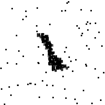 CC(=C/C(C)=N/B(F)OCc1ccc(-c2nnc(C)nn2)cc1)/C(C)=C(\C)c1c(C)cc(C)n1C